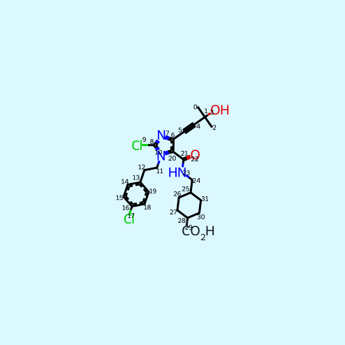 CC(C)(O)C#Cc1nc(Cl)n(CCc2ccc(Cl)cc2)c1C(=O)NCC1CCC(C(=O)O)CC1